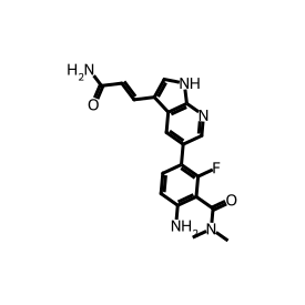 CN(C)C(=O)c1c(N)ccc(-c2cnc3[nH]cc(/C=C/C(N)=O)c3c2)c1F